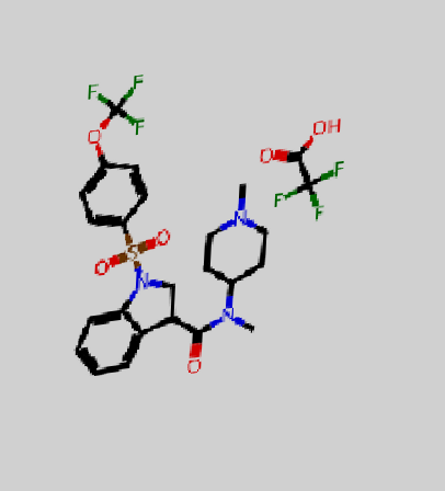 CN1CCC(N(C)C(=O)C2CN(S(=O)(=O)c3ccc(OC(F)(F)F)cc3)c3ccccc32)CC1.O=C(O)C(F)(F)F